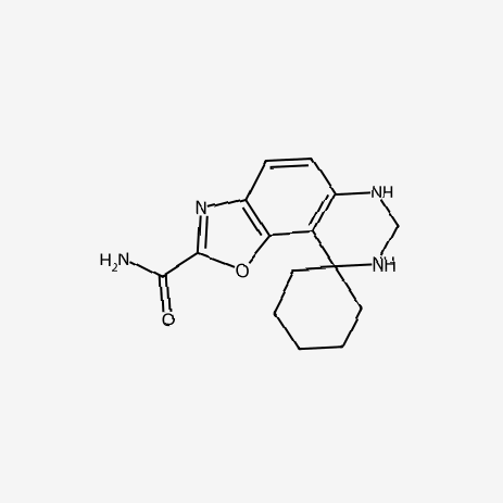 NC(=O)c1nc2ccc3c(c2o1)C1(CCCCC1)NCN3